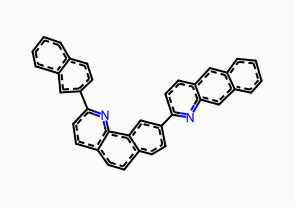 c1ccc2cc(-c3ccc4ccc5ccc(-c6ccc7cc8ccccc8cc7n6)cc5c4n3)ccc2c1